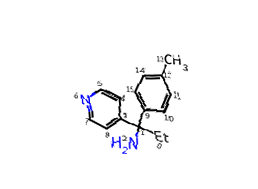 CCC(N)(c1ccncc1)c1ccc(C)cc1